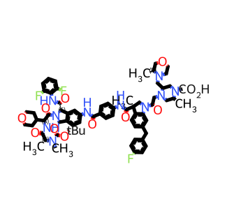 CC1CN(CC(=O)N2CC(C)(C(=O)Nc3ccc(C(=O)Nc4ccc5c(c4)[C@@H](C(=O)Nc4c(F)cccc4F)N(C(=O)[C@@H](NC(=O)[C@H](C)N(C)C(=O)OC(C)(C)C)C4CCOCC4)C5)cc3)c3ccc(Cc4ccc(F)cc4)cc32)C(CN2CCOC[C@H]2C)CN1C(=O)O